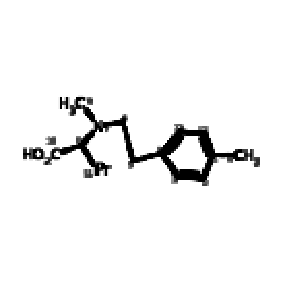 Cc1ccc(CCN(C)[C@H](C(=O)O)C(C)C)cc1